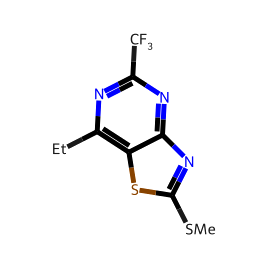 CCc1nc(C(F)(F)F)nc2nc(SC)sc12